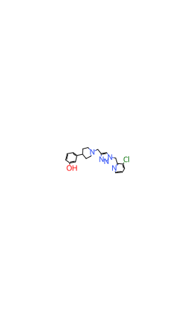 Oc1cccc(C2CCN(Cc3cn(Cc4ncccc4Cl)nn3)CC2)c1